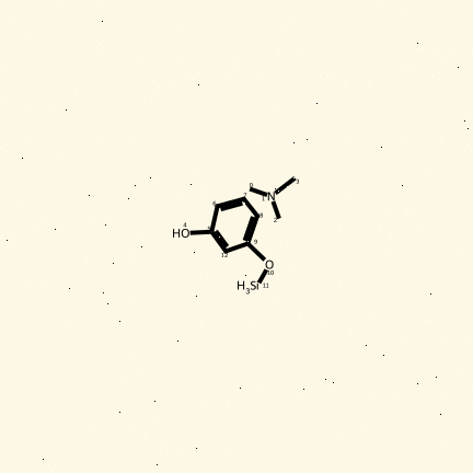 CN(C)C.Oc1cccc(O[SiH3])c1